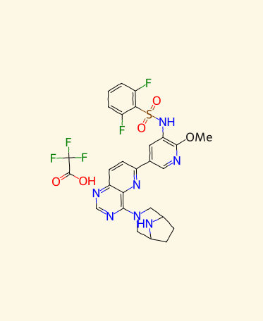 COc1ncc(-c2ccc3ncnc(N4CC5CCC(C4)N5)c3n2)cc1NS(=O)(=O)c1c(F)cccc1F.O=C(O)C(F)(F)F